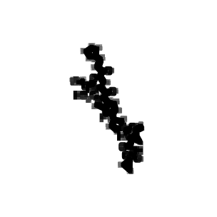 C=CC1CC1(NC(=O)N1CCC(c2ccc3c(c2F)CN(C(=O)O)C3C(=O)[C@H](CCC(=O)/C=C/C2CCCC2)NC(=O)OC(C)(C)C)C1)C(=O)NS(=O)(=O)C1CC1